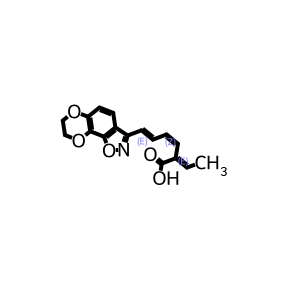 C\C=C(/C=C\C=C\c1noc2c3c(ccc12)OCCO3)C(=O)O